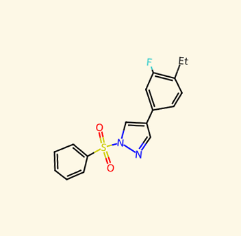 CCc1ccc(-c2cnn(S(=O)(=O)c3ccccc3)c2)cc1F